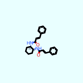 O=C(C=Cc1ccccc1)N[C@H]1CCCC[C@@H]1NC(=O)C=Cc1ccccc1